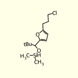 C[SiH](C)OC(c1ccc(CCCCl)o1)C(C)(C)C